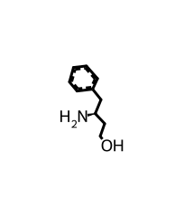 N[C@H](CCO)Cc1ccccc1